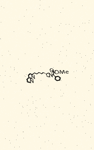 COC(=O)C(c1ccccc1)N1CC[C@@H](CCCCCc2ccc3cccnc3n2)C1